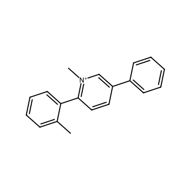 Cc1ccccc1-c1ccc(-c2ccccc2)c[n+]1C